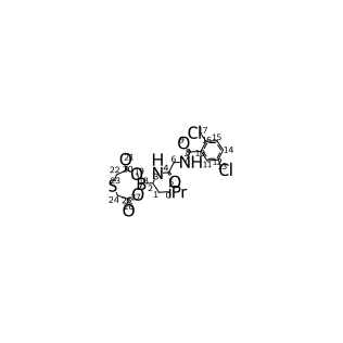 CC(C)CC(NC(=O)CNC(=O)c1cc(Cl)ccc1Cl)B1OC(=O)CSCC(=O)O1